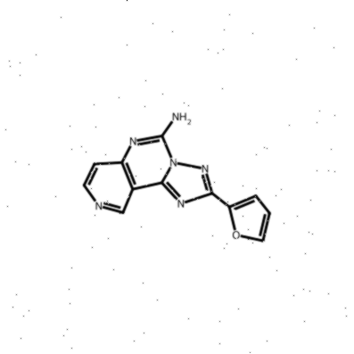 Nc1nc2ccncc2c2nc(-c3ccco3)nn12